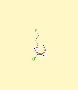 FCCc1ccnc(Cl)n1